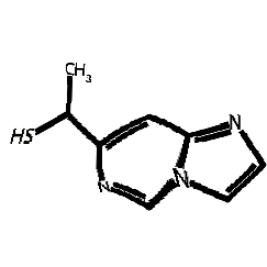 CC(S)c1cc2nccn2cn1